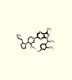 Cc1cc(Cl)ccc1C(C)n1nc(C)c2ncc(N3CCC(N4CCCC4CCN)C(C)C3)nc21